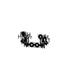 CCN(CC)[C@@H](C(=O)N1CCC[C@H]1c1ncc(-c2ccc(-c3ccc(-c4cnc([C@@H]5CCCN5C(=O)[C@@H](NC5=NCCN5)C(C)C)[nH]4)cc3)cc2)[nH]1)c1ccccc1